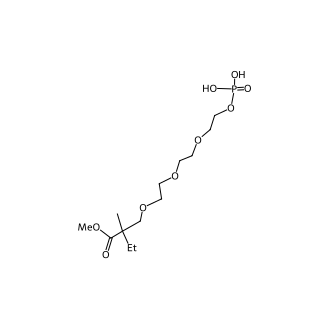 CCC(C)(COCCOCCOCCOP(=O)(O)O)C(=O)OC